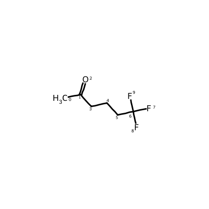 CC(=O)CCCC(F)(F)F